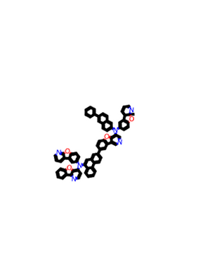 CC12N=CC=CC1c1cc(N(c3ccc4cc(-c5ccccc5)ccc4c3)c3cncc4c3oc3ccc(-c5ccc6c(c5)cc(N(c5ccc7oc8ncccc8c7c5)c5ccnc7c5oc5ccccc57)c5ccccc56)cc34)ccc1O2